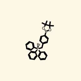 CC1(C)OB(c2ccc(CP(Br)(c3ccccc3)(c3ccccc3)c3ccccc3)cc2)OC1(C)C